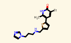 CCc1cc(-c2ccc(CNCCCn3ccnc3)s2)c(C)[nH]c1=O